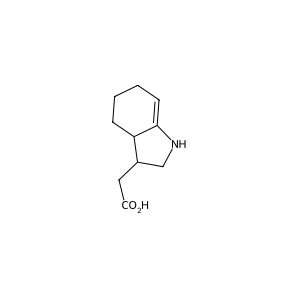 O=C(O)CC1CNC2=CCCCC21